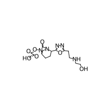 O=C1N2CC(CCC2c2nnc(CCNCCO)o2)N1OS(=O)(=O)O